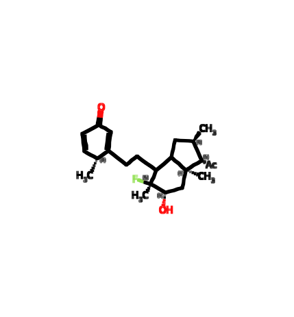 CC(=O)[C@H]1[C@H](C)CC2C(CCC3=CC(=O)C=C[C@H]3C)[C@](C)(F)[C@@H](O)C[C@@]21C